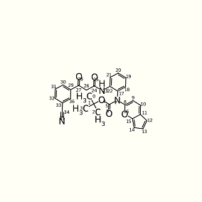 CC(C)(C)OC(=O)N(c1ccc2cccc-2o1)c1ccccc1NC(=O)CC(=O)c1cccc(C#N)c1